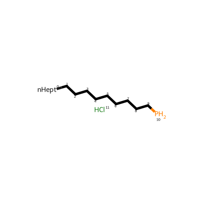 CCCCCCCCCCCCCCCCP.Cl